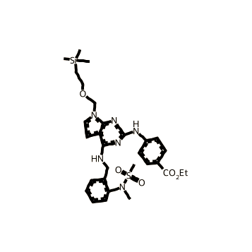 CCOC(=O)c1ccc(Nc2nc(NCc3ccccc3N(C)S(C)(=O)=O)c3ccn(COCC[Si](C)(C)C)c3n2)cc1